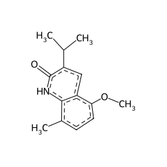 COc1ccc(C)c2[nH]c(=O)c(C(C)C)cc12